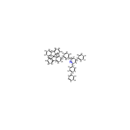 c1ccc(-c2ccc(-c3cc(-c4ccccc4)cc(-c4cccc(-c5ccc6c(c5)C5(c7ccccc7-c7ccccc75)c5ccccc5-6)c4)n3)cc2)cc1